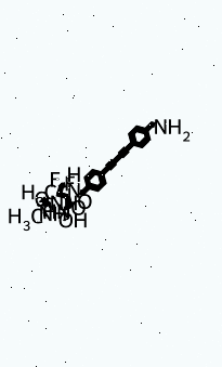 CNC(=O)NC(C)(C(F)F)C(NC(=O)c1ccc(C#CC#Cc2ccc(CN)cc2)cc1)C(=O)NO